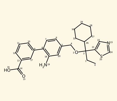 CCC(OCc1ccc(-c2cccc(C(=O)O)c2)c(N)c1)(c1cncs1)C1CCCCC1